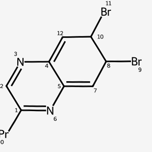 CCCc1cnc2c(n1)=CC(Br)C(Br)C=2